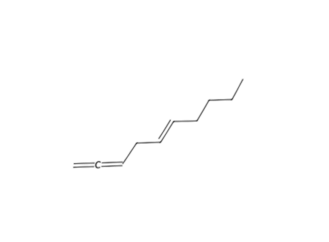 C=C=CCC=CCCCC